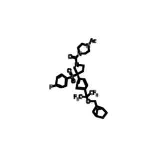 CC(=O)N1CCN(C(=O)N2CC[C@](c3ccc(C(OCC4CC5CCC4C5)(C(F)(F)F)C(F)(F)F)cc3)(S(=O)(=O)c3ccc(F)cc3)C2)CC1